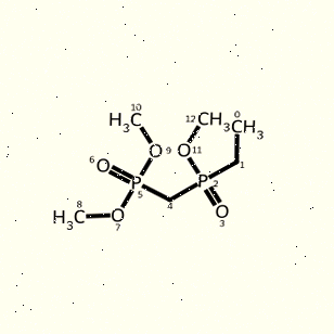 CCP(=O)(CP(=O)(OC)OC)OC